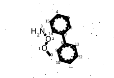 COON.c1ccc(-c2ccccc2)cc1